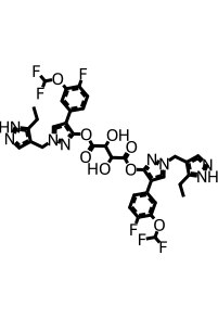 CCc1[nH]ncc1Cn1cc(-c2ccc(F)c(OC(F)F)c2)c(OC(=O)C(O)C(O)C(=O)Oc2nn(Cc3cn[nH]c3CC)cc2-c2ccc(F)c(OC(F)F)c2)n1